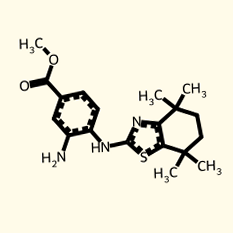 COC(=O)c1ccc(Nc2nc3c(s2)C(C)(C)CCC3(C)C)c(N)c1